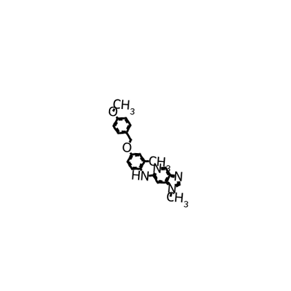 COc1ccc(COc2ccc(Nc3cc4c(cn3)ncn4C)c(C)c2)cc1